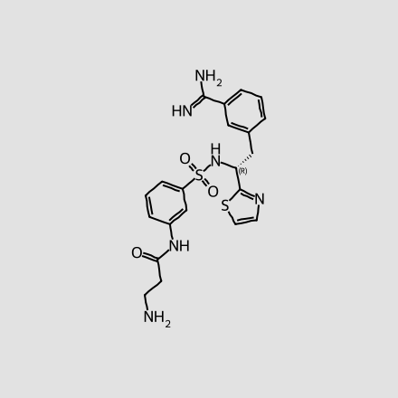 N=C(N)c1cccc(C[C@@H](NS(=O)(=O)c2cccc(NC(=O)CCN)c2)c2nccs2)c1